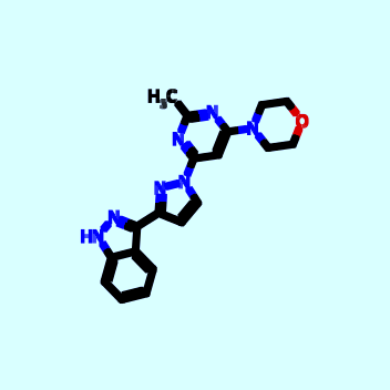 Cc1nc(N2CCOCC2)cc(-n2ccc(-c3n[nH]c4ccccc34)n2)n1